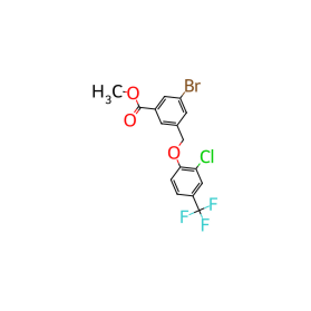 COC(=O)c1cc(Br)cc(COc2ccc(C(F)(F)F)cc2Cl)c1